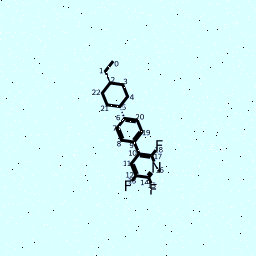 CC[C@H]1CC[C@H](c2ccc(-c3cc(F)c(F)nc3F)cc2)CC1